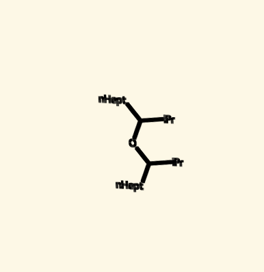 CCCCCCCC(OC(CCCCCCC)C(C)C)C(C)C